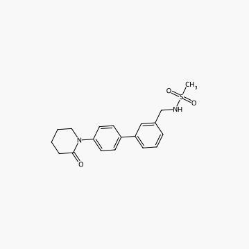 CS(=O)(=O)NCc1cccc(-c2ccc(N3CCCCC3=O)cc2)c1